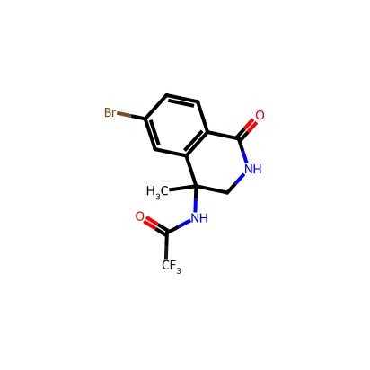 CC1(NC(=O)C(F)(F)F)CNC(=O)c2ccc(Br)cc21